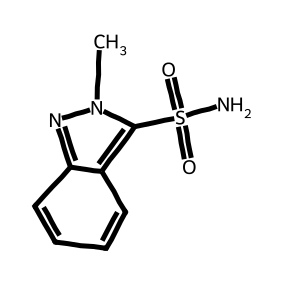 Cn1nc2ccccc2c1S(N)(=O)=O